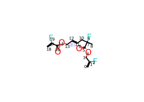 C=C(F)COC(=O)C(C)(F)C/C=C/COC(=O)C(=C)F